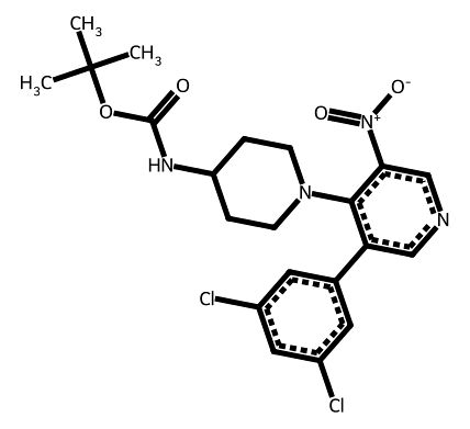 CC(C)(C)OC(=O)NC1CCN(c2c(-c3cc(Cl)cc(Cl)c3)cncc2[N+](=O)[O-])CC1